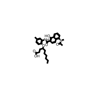 CCCCCCC(CCC(=O)O)Oc1ccc(C)cc1NC(=O)c1ccc2c(N(C)C(C)=O)cccc2c1O